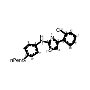 CCCCCc1ccc(Nc2nc(-c3ccccc3Cl)cs2)cc1